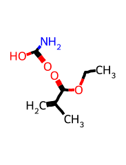 C=C(C)C(=O)OCC.NC(=O)O